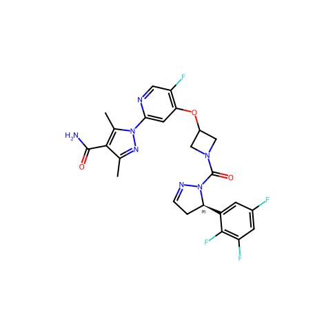 Cc1nn(-c2cc(OC3CN(C(=O)N4N=CC[C@@H]4c4cc(F)cc(F)c4F)C3)c(F)cn2)c(C)c1C(N)=O